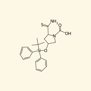 CC(C)(C)[Si](OC1CC(C(N)=S)N(C(=O)O)C1)(c1ccccc1)c1ccccc1